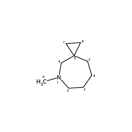 CN1CCCCC2(CC2)C1